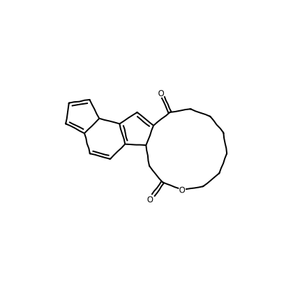 O=C1CC2C(=CC3=C2C=CC2=CC=CC23)C(=O)CCCCCCO1